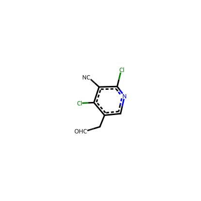 N#Cc1c(Cl)ncc(CC=O)c1Cl